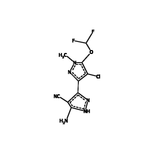 Cn1nc(-c2n[nH]c(N)c2C#N)c(Cl)c1OC(F)F